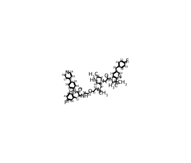 C[C@@H]1CN(CC(=O)N2CC(C)(C)c3ncc(Cc4ccc(F)cc4)cc32)[C@@H](CN(C)CCOCCN[C@H](Cc2cccc(F)c2)C(=O)Nc2ccc(-c3ccncc3)cc2)CN1